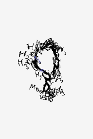 COC1CC(C=C(C)C2OC(=O)C3CCCCN3C(=O)C(=O)C3(O)OC(C(OC)CC(C)C/C(C)=C/C(C)C(=O)/C=C/C2C)C(OC)CC3C)CCC1O[Si](C)(C)C(C)(C)C